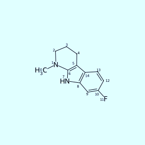 CN1CCCc2c1[nH]c1cc(F)ccc21